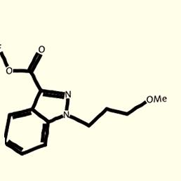 COCCCn1nc(C(=O)OF)c2ccccc21